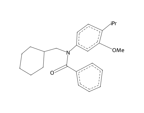 COc1cc(N(CC2CCCCC2)C(=O)c2ccccc2)ccc1C(C)C